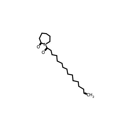 C=CCCCCCCCCCCCCCC(=O)N1CCCCCC1=O